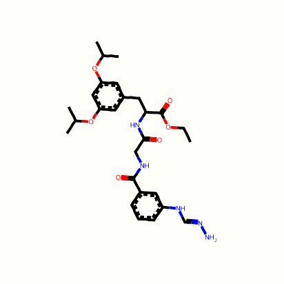 CCOC(=O)C(Cc1cc(OC(C)C)cc(OC(C)C)c1)NC(=O)CNC(=O)c1cccc(NC=NN)c1